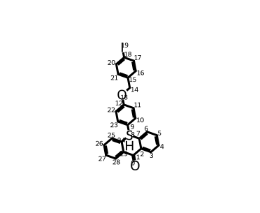 O=C1c2ccccc2[SH](c2ccc(OCc3ccc(I)cc3)cc2)c2ccccc21